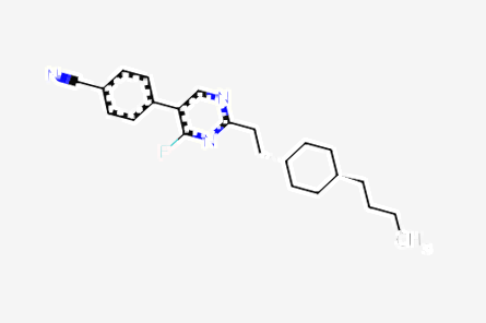 CCCC[C@H]1CC[C@H](CCc2ncc(-c3ccc(C#N)cc3)c(F)n2)CC1